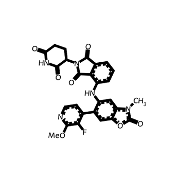 COc1nccc(-c2cc3oc(=O)n(C)c3cc2Nc2cccc3c2C(=O)N(C2CCC(=O)NC2=O)C3=O)c1F